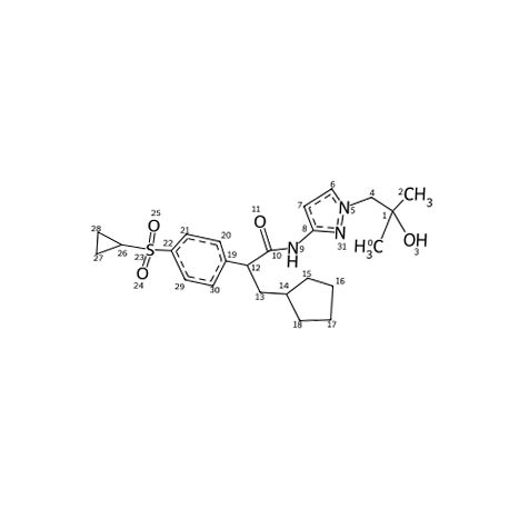 CC(C)(O)Cn1ccc(NC(=O)C(CC2CCCC2)c2ccc(S(=O)(=O)C3CC3)cc2)n1